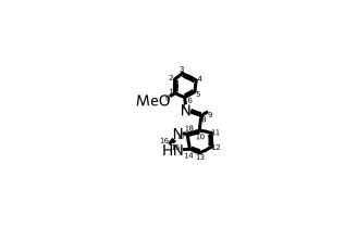 COc1ccccc1N=C(C)c1cccc2[nH]cnc12